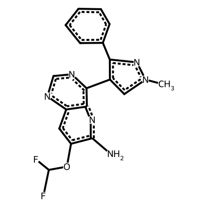 Cn1cc(-c2ncnc3cc(OC(F)F)c(N)nc23)c(-c2ccccc2)n1